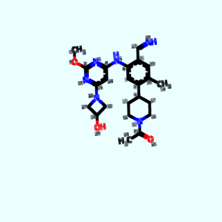 COc1nc(Nc2cc(C3CCN(C(C)=O)CC3)c(C)cc2C=N)cc(N2CC(O)C2)n1